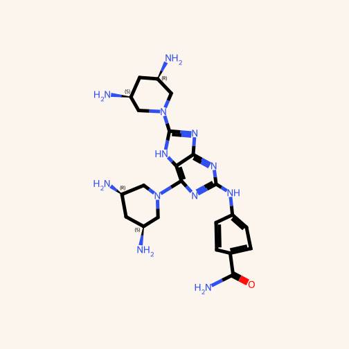 NC(=O)c1ccc(Nc2nc(N3C[C@H](N)C[C@H](N)C3)c3[nH]c(N4C[C@H](N)C[C@H](N)C4)nc3n2)cc1